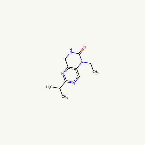 CCN1C(=O)NCc2nc(C(C)C)ncc21